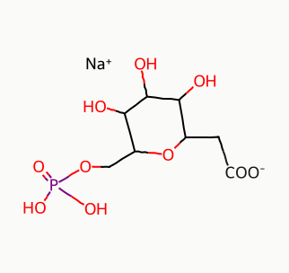 O=C([O-])CC1OC(COP(=O)(O)O)C(O)C(O)C1O.[Na+]